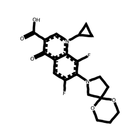 O=C(O)c1cn(C2CC2)c2c(F)c(N3CCC4(C3)OCCCO4)c(F)cc2c1=O